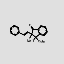 COC1(OC)c2ccccc2C(=O)C1(C)C=Cc1ccccc1